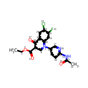 CCOC(=O)c1cn(-c2ccc(NC(C)=O)nc2)c2cc(F)c(Cl)cc2c1=O